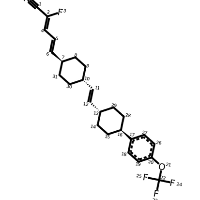 N#CC(F)=CC=C[C@H]1CC[C@H](C=C[C@H]2CC[C@H](c3ccc(OC(F)(F)F)cc3)CC2)CC1